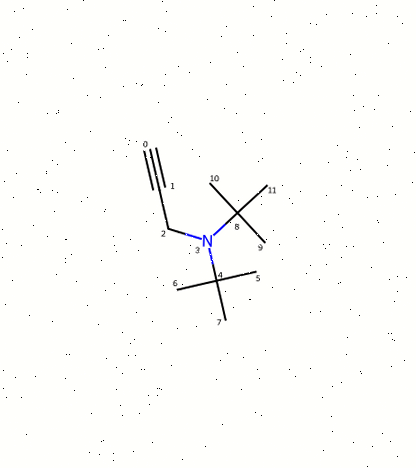 C#CCN(C(C)(C)C)C(C)(C)C